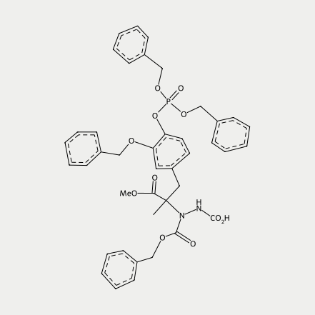 COC(=O)C(C)(Cc1ccc(OP(=O)(OCc2ccccc2)OCc2ccccc2)c(OCc2ccccc2)c1)N(NC(=O)O)C(=O)OCc1ccccc1